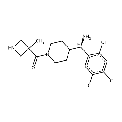 CC1(C(=O)N2CCC([C@@H](N)c3cc(Cl)c(Cl)cc3O)CC2)CNC1